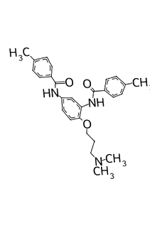 Cc1ccc(C(=O)Nc2ccc(OCCCN(C)C)c(NC(=O)c3ccc(C)cc3)c2)cc1